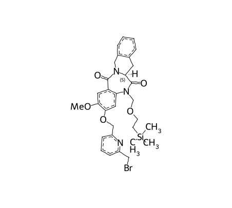 COc1cc2c(cc1OCc1cccc(CBr)n1)N(COCC[Si](C)(C)C)C(=O)[C@@H]1Cc3ccccc3CN1C2=O